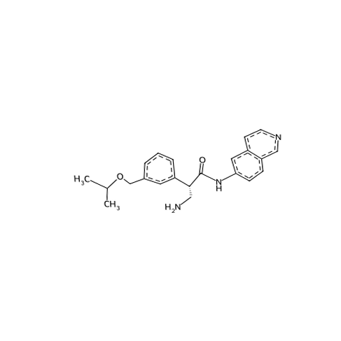 CC(C)OCc1cccc([C@@H](CN)C(=O)Nc2ccc3cnccc3c2)c1